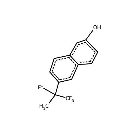 CCC(C)(c1ccc2cc(O)ccc2c1)C(F)(F)F